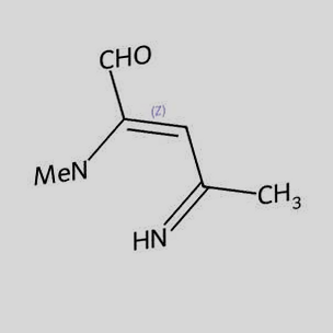 CN/C(C=O)=C\C(C)=N